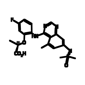 Cc1cc(N=S(C)(C)=O)cc2ncnc(Nc3ccc(F)cc3O[C@H](C)C(=O)O)c12